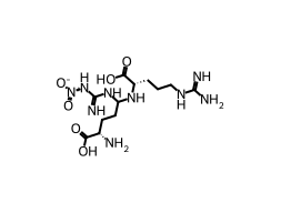 N=C(N)NCCC[C@H](NC(CC[C@H](N)C(=O)O)NC(=N)N[N+](=O)[O-])C(=O)O